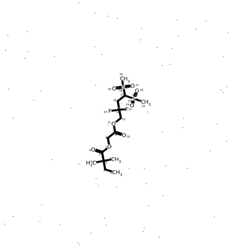 CCC(C)(C)C(=O)OCC(=O)OCC(F)(F)CC(S(C)(=O)=O)S(C)(=O)=O